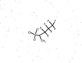 CC(C(F)(F)C(F)(F)C(F)(F)F)[Si](Cl)(Cl)Cl